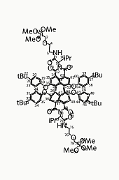 CO[Si](COCCNC(=O)C(C(C)C)N1C(=O)c2cc(Oc3ccc(C(C)(C)C)cc3)c3c4c(Oc5ccc(C(C)(C)C)cc5)cc5c6c(cc(Oc7ccc(C(C)(C)C)cc7)c(c7c(Oc8ccc(C(C)(C)C)cc8)cc(c2c37)C1=O)c64)C(=O)N(C(C(=O)NCCOC[Si](OC)(OC)OC)C(C)C)C5=O)(OC)OC